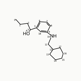 CCCC(O)c1cccc(NCC2CCCCC2)c1